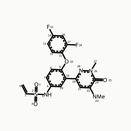 C=CS(=O)(=O)Nc1ccc(Oc2ccc(F)cc2F)c(-c2cc(NC)c(=O)n(C)n2)c1